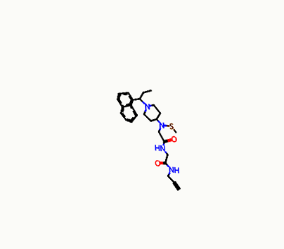 C#CCNC(=O)CNC(=O)CN(SC)C1CCN(C(CC)c2cccc3ccccc23)CC1